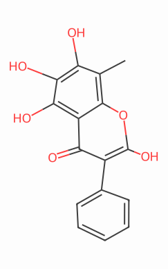 Cc1c(O)c(O)c(O)c2c(=O)c(-c3ccccc3)c(O)oc12